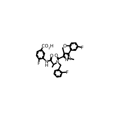 CC(C(=O)Nc1cc(C(=O)O)ccc1F)N(Cc1ccccc1F)C(=O)c1nn(C)c2c1COc1ccc(F)cc1-2